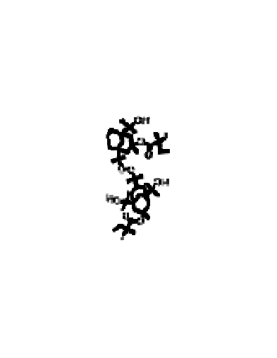 CCC(C)(I)C(=O)OC1(C)CC2(C(C)(C)O)CC(C(C)(C)OOC(C)(C)C34CCCC(C(C)(C)O)(CC(C)(OC(=O)C(C)(I)CC)C3)C4)CC(C(C)(C)O)(C1)C2